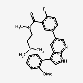 COc1ccccc1-c1c[nH]c2ncc(-c3ccc(F)c(C(=O)N(C)CCN(C)C)c3)cc12